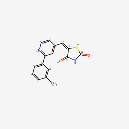 Cc1cccc(-c2cc(C=C3SC(=O)NC3=O)ccn2)c1